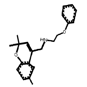 Cc1ccc2c(c1)C(CNCCOc1ccccc1)=CC(C)(C)O2